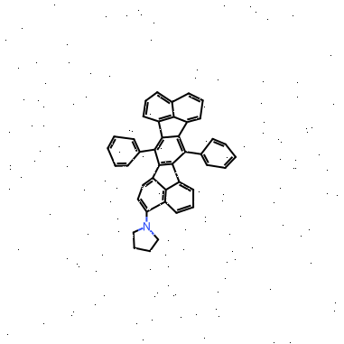 c1ccc(-c2c3c4cccc5cccc(c3c(-c3ccccc3)c3c6ccc(N7CCCC7)c7cccc(c23)c76)c54)cc1